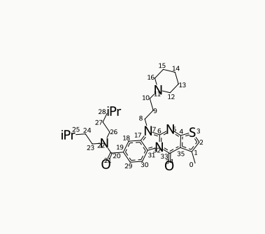 Cc1csc2nc3n(CCCN4CCCCC4)c4cc(C(=O)N(CCC(C)C)CCC(C)C)ccc4n3c(=O)c12